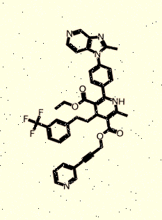 CCOC(=O)C1=C(c2ccc(-n3c(C)nc4cnccc43)cc2)NC(C)=C(C(=O)OCC#Cc2cccnc2)C1CCc1cccc(C(F)(F)F)c1